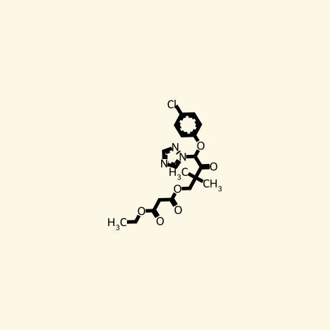 CCOC(=O)CC(=O)OCC(C)(C)C(=O)C(Oc1ccc(Cl)cc1)n1cncn1